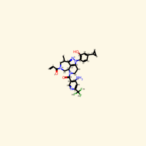 C=CC(=O)N1CC(C)c2nn(-c3ccc(C4CC4)cc3O)c3c2C(C1)N(C(=O)c1cnc(C(F)(F)F)cc1N)CC3